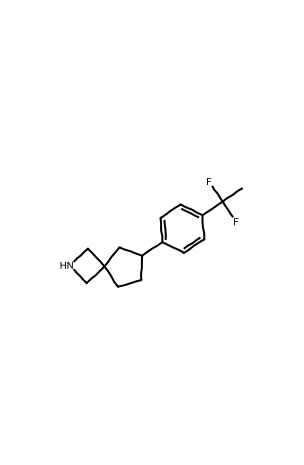 CC(F)(F)c1ccc(C2CCC3(CNC3)C2)cc1